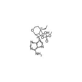 CC[C@]12CCOC(C1OP(=O)(O)OC)[C@H](n1cnc3c(N)ncnc31)O2